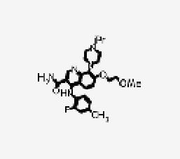 COCCOc1ccc2c(Nc3ccc(C)cc3F)c(C(N)=O)cnc2c1N1CCN(C(C)C)CC1